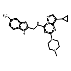 CN1CCN(c2nc(NCc3nc4cc(C(F)(F)F)ccc4[nH]3)n3ncc(C4CC4)c3n2)CC1